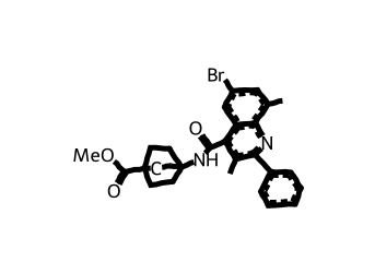 COC(=O)C12CCC(NC(=O)c3c(C)c(-c4ccccc4)nc4c(C)cc(Br)cc34)(CC1)CC2